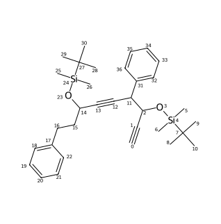 C#CC(O[Si](C)(C)C(C)(C)C)C(C#CC(CCc1ccccc1)O[Si](C)(C)C(C)(C)C)c1ccccc1